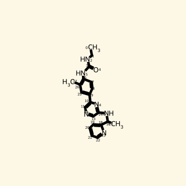 CCNC(=O)Nc1ccc(-c2cncc(NC(C)c3ccccn3)n2)cc1C